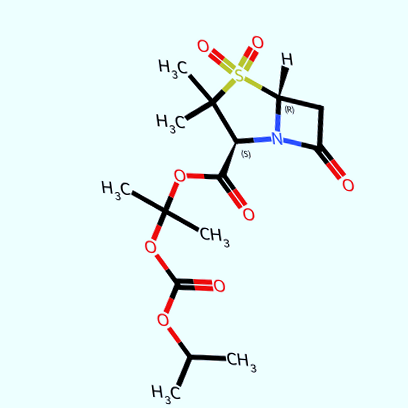 CC(C)OC(=O)OC(C)(C)OC(=O)[C@@H]1N2C(=O)C[C@H]2S(=O)(=O)C1(C)C